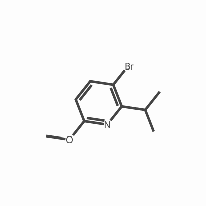 COc1ccc(Br)c(C(C)C)n1